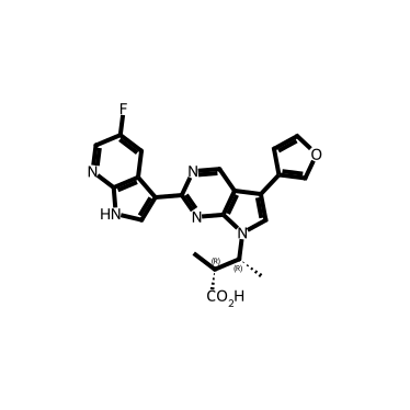 C[C@H]([C@@H](C)C(=O)O)n1cc(-c2ccoc2)c2cnc(-c3c[nH]c4ncc(F)cc34)nc21